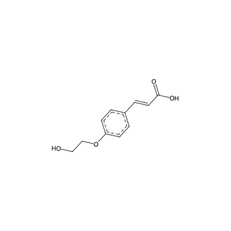 O=C(O)C=Cc1ccc(OCCO)cc1